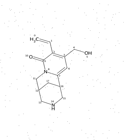 C=Cc1c(CO)cc2n(c1=O)CC1CNCC2C1